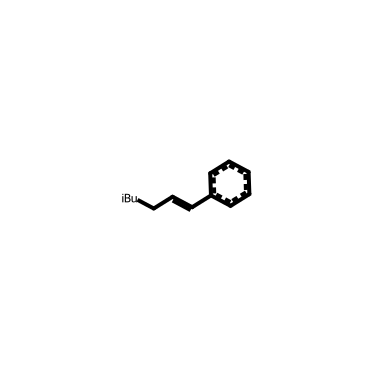 CCC(C)CC=Cc1ccccc1